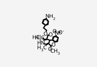 COC(=O)C1=C(C)NC(C)=C(C(=O)OCCc2ccc(N)cc2)C1c1cccc([N+](=O)[O-])c1.Cl